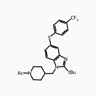 CC(=O)N1CCC(Cn2c(C(C)(C)C)nc3cc(Sc4ccc(C(F)(F)F)cc4)ccc32)CC1